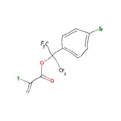 C=C(F)C(=O)OC(c1ccc(Br)cc1)(C(F)(F)F)C(F)(F)F